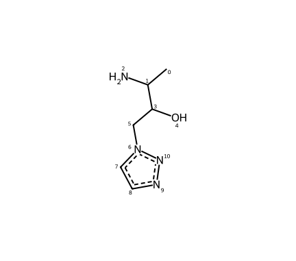 CC(N)C(O)Cn1ccnn1